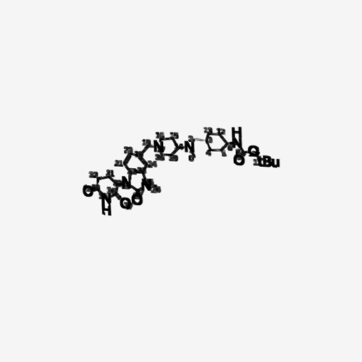 CN(C[C@H]1CC[C@H](NC(=O)OC(C)(C)C)CC1)C1CCN(Cc2ccc3c(c2)n(C)c(=O)n3C2CCC(=O)NC2=O)CC1